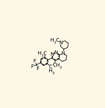 Cc1cc(C(F)(F)F)cc(C)c1-c1nnc2c(c1C)CCCN2C1CCCN(C)C1